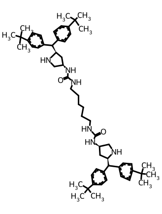 CC(C)(C)c1ccc(C(c2ccc(C(C)(C)C)cc2)[C@H]2C[C@@H](NC(=O)NCCCCCCNC(=O)N[C@H]3CN[C@@H](C(c4ccc(C(C)(C)C)cc4)c4ccc(C(C)(C)C)cc4)C3)CN2)cc1